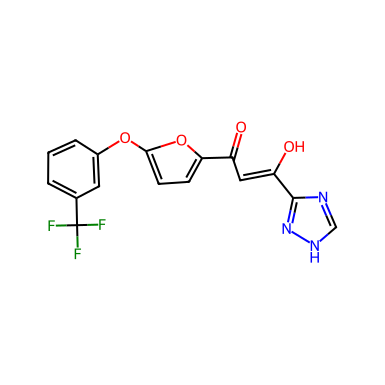 O=C(C=C(O)c1nc[nH]n1)c1ccc(Oc2cccc(C(F)(F)F)c2)o1